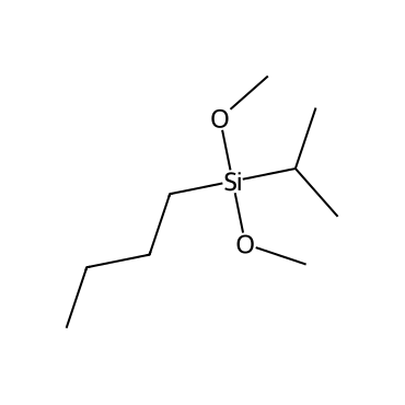 CCCC[Si](OC)(OC)C(C)C